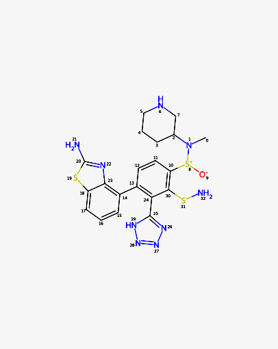 CN(C1CCCNC1)[S+]([O-])c1ccc(-c2cccc3sc(N)nc23)c(-c2nnn[nH]2)c1SN